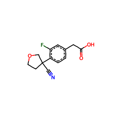 N#CC1(c2ccc(CC(=O)O)cc2F)CCOC1